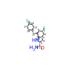 NC(=O)c1cc2cc(F)cc(Cc3ccc(F)cc3)c2[nH]1